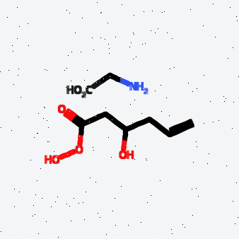 C=CCC(O)CC(=O)OO.NCC(=O)O